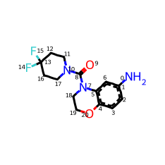 Nc1ccc2c(c1)N(C(=O)N1CCC(F)(F)CC1)CCO2